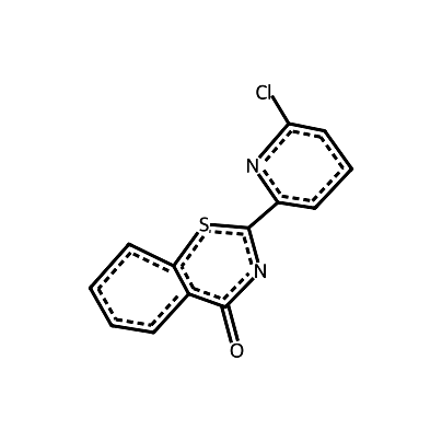 O=c1nc(-c2cccc(Cl)n2)sc2ccccc12